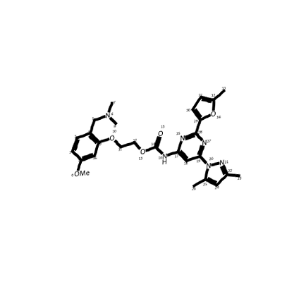 COc1ccc(CN(C)C)c(OCCOC(=O)Nc2cc(-n3nc(C)cc3C)nc(-c3ccc(C)o3)n2)c1